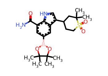 CC1(C)OB(c2cc(C(N)=O)c3[nH]cc(C4CCS(=O)(=O)C(C)(C)C4)c3c2)OC1(C)C